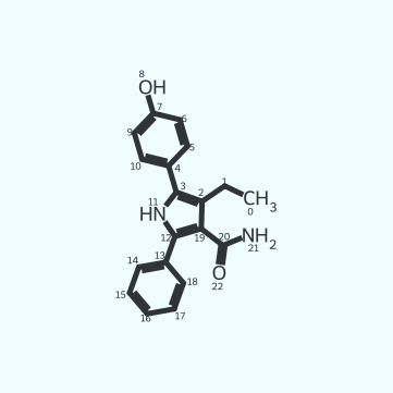 CCc1c(-c2ccc(O)cc2)[nH]c(-c2ccccc2)c1C(N)=O